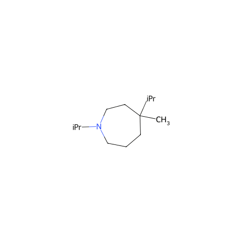 CC(C)N1CCCC(C)(C(C)C)CC1